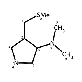 CSCC1C[N]CC1N(C)C